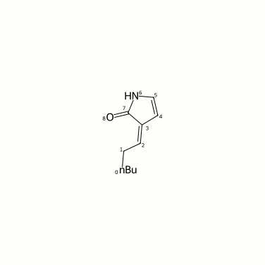 CCCCCC=C1C=CNC1=O